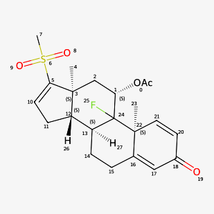 CC(=O)O[C@H]1C[C@]2(C)C(S(C)(=O)=O)=CC[C@H]2[C@@H]2CCC3=CC(=O)C=C[C@]3(C)C12F